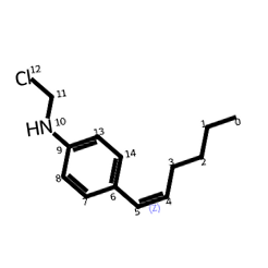 CCCC/C=C\c1ccc(NCCl)cc1